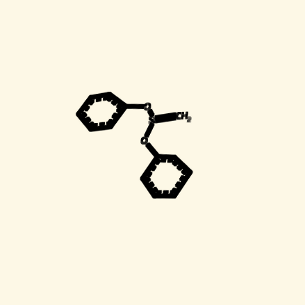 C=[Si](Oc1ccccc1)Oc1ccccc1